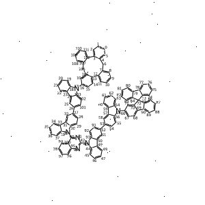 c1ccc2c(c1)Cc1ccccc1-c1ccc(-n3c4ccccc4c4cc(-c5ccc6c(c5)c5ccccc5n6-c5nc(-n6c7ccccc7c7cc(-c8ccc9c(c8)c8ccccc8n9-c8ccc9c(c8)C8(c%10ccccc%10-c%10ccccc%108)c8ccccc8-9)ccc76)nc6ccccc56)ccc43)cc1Cc1ccccc1-2